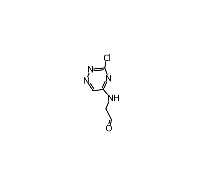 O=CCNc1cnnc(Cl)n1